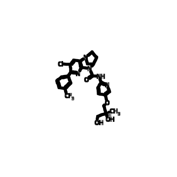 C[C@@](O)(CO)COc1ccc(NC(=O)N2c3nc(-c4cccc(C(F)(F)F)c4)c(Cl)cc3N3CCC2C3)nc1